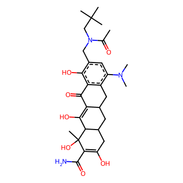 CC(=O)N(Cc1cc(N(C)C)c2c(c1O)C(=O)C1=C(O)C3C(CC(O)=C(C(N)=O)C3(C)O)CC1C2)CC(C)(C)C